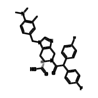 Cc1cc(Cn2cnc3c2C[C@@H](C(=O)O)N(C(=O)C(c2ccc(F)cc2)c2ccc(F)cc2)C3)ccc1N(C)C